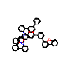 c1ccc(-c2cccc(-c3ccccc3N(c3ccc(-c4cccc(-c5cccc6c5oc5ccccc56)c4)cc3)c3ccc(-c4ccccc4-c4ccccc4-n4c5ccccc5c5ccccc54)cc3)c2)cc1